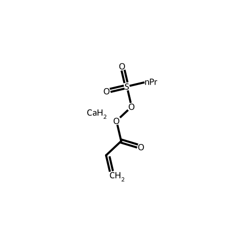 C=CC(=O)OOS(=O)(=O)CCC.[CaH2]